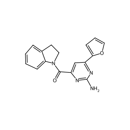 Nc1nc(C(=O)N2CCc3ccccc32)cc(-c2ccco2)n1